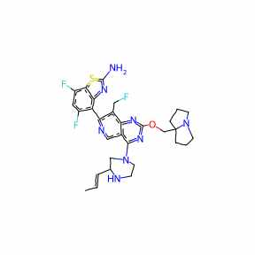 C/C=C/C1CN(c2nc(OCC34CCCN3CCC4)nc3c(CF)c(-c4c(F)cc(F)c5sc(N)nc45)ncc23)CCN1